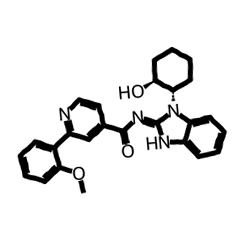 COc1ccccc1-c1cc(C(=O)/N=c2\[nH]c3ccccc3n2[C@H]2CCCC[C@@H]2O)ccn1